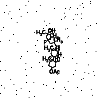 CC(=O)O[C@H]1CC[C@@]2(C)C(=CC[C@H]3[C@@H]4CC[C@H]([C@H](C)CC(F)(F)CC(C)(C)O)[C@@]4(C)CC[C@@H]32)C1